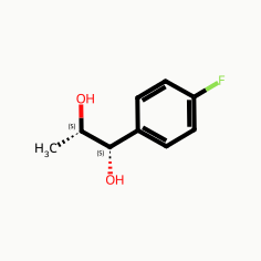 C[C@H](O)[C@@H](O)c1ccc(F)cc1